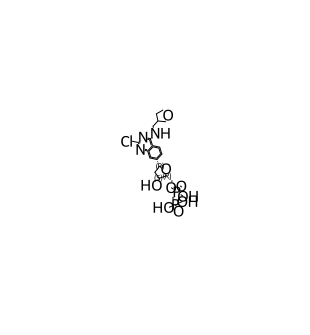 O=P(O)(O)CP(=O)(O)OC[C@H]1O[C@@H](c2ccc3c(NCC4CCOC4)nc(Cl)nc3c2)C[C@@H]1O